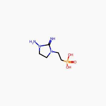 N=C1N(N)CCN1CCP(=O)(O)O